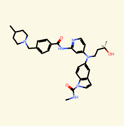 CNC(=O)n1ccc2cc(N(CC[C@H](C)O)c3ccnc(NC(=O)c4ccc(CN5CCC(C)CC5)cc4)c3)ccc21